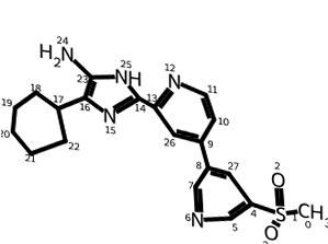 CS(=O)(=O)c1cncc(-c2ccnc(-c3nc(C4CCCCC4)c(N)[nH]3)c2)c1